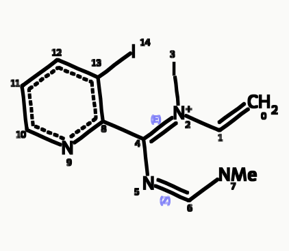 C=C/[N+](I)=C(\N=C/NC)c1ncccc1I